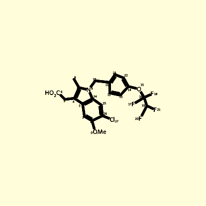 COc1cc2c(CC(=O)O)c(C)n(Cc3ccc(OC(F)(F)C(F)F)cc3)c2cc1Cl